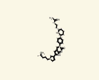 C[C@H](N)CCCN1CC=C(c2cc3cn(-c4ccc([C@@H]5CCC[C@@H](CCSC(=N)N)N5)cc4)c(=O)nc3[nH]2)C1